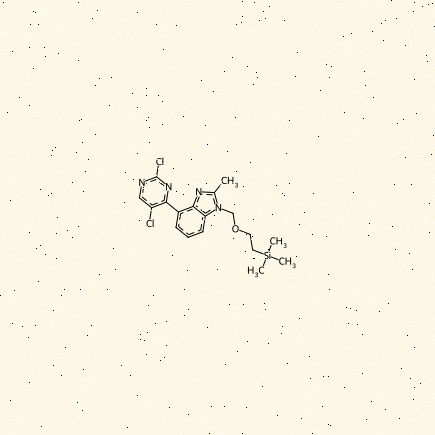 Cc1nc2c(-c3nc(Cl)ncc3Cl)cccc2n1COCC[Si](C)(C)C